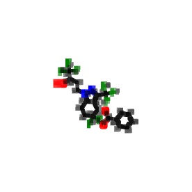 O=C(O[C@H]1c2c(C(F)(F)F)nn(CCC(O)C(F)(F)F)c2CCC1(F)F)c1ccccc1